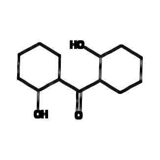 O=C(C1CCCCC1O)C1CCCCC1O